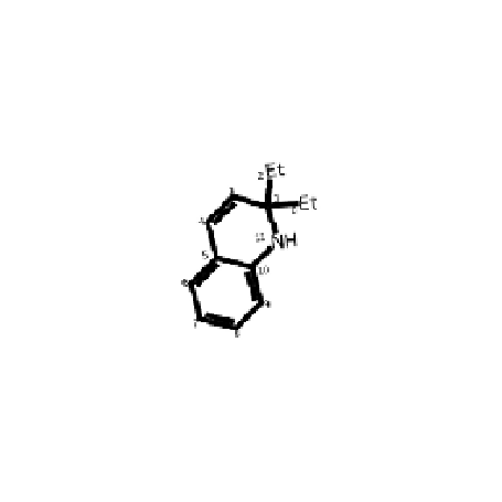 CCC1(CC)C=Cc2ccccc2N1